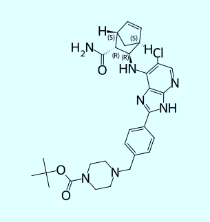 CC(C)(C)OC(=O)N1CCN(Cc2ccc(-c3nc4c(N[C@H]5[C@H](C(N)=O)[C@@H]6C=C[C@@H]5C6)c(Cl)cnc4[nH]3)cc2)CC1